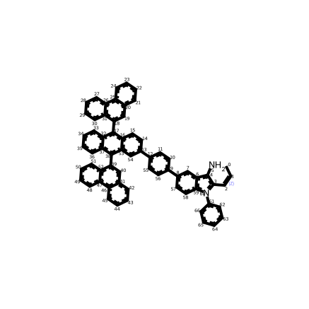 C/C=C\c1c(N)c2cc(-c3ccc(-c4ccc5c(-c6cc7ccccc7c7ccccc67)c6ccccc6c(-c6cc7ccccc7c7ccccc67)c5c4)cc3)ccc2n1-c1ccccc1